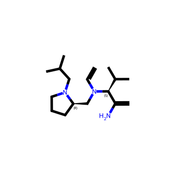 C=CN(C[C@H]1CCCN1CC(C)C)[C@H](C(=C)N)C(C)C